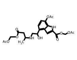 CC(=O)OCOC(=O)CC(C)NCC(O)c1ccc(OC(C)=O)c2[nH]c(C(=O)OCOC(C)=O)cc12